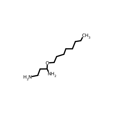 CCCCCCCCOC(N)C[CH]N